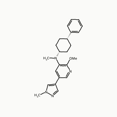 COc1ncc(-c2cnn(C)c2)cc1N(C)[C@H]1CC[C@@H](c2ccccc2)CC1